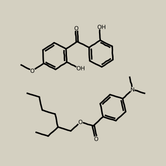 CCCCC(CC)COC(=O)c1ccc(N(C)C)cc1.COc1ccc(C(=O)c2ccccc2O)c(O)c1